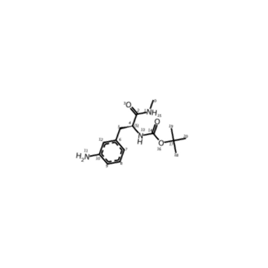 CNC(=O)[C@H](Cc1cccc(N)c1)NC(=O)OC(C)(C)C